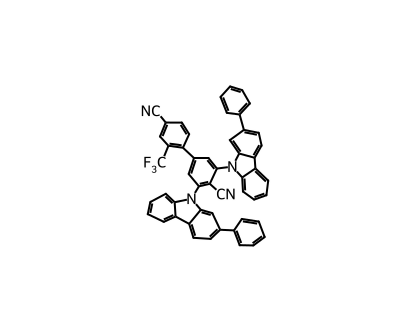 N#Cc1ccc(-c2cc(-n3c4ccccc4c4ccc(-c5ccccc5)cc43)c(C#N)c(-n3c4ccccc4c4ccc(-c5ccccc5)cc43)c2)c(C(F)(F)F)c1